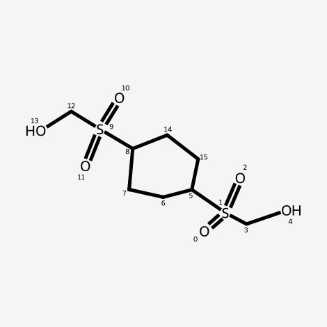 O=S(=O)(CO)C1CCC(S(=O)(=O)CO)CC1